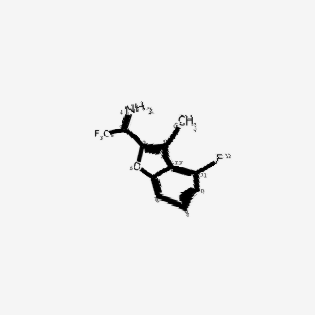 Cc1c(C(N)C(F)(F)F)oc2cccc(F)c12